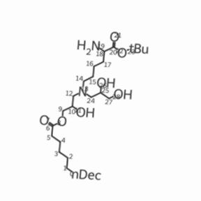 CCCCCCCCCCCCCCCC(=O)OCC(O)CN(CCCCC(N)C(=O)OC(C)(C)C)CC(O)CO